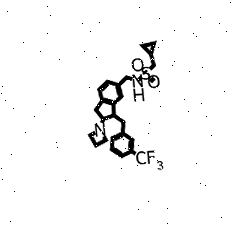 O=S(=O)(CC1CC1)NCc1ccc2c(c1)C(Cc1cccc(C(F)(F)F)c1)C(N1CCC1)C2